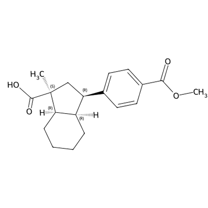 COC(=O)c1ccc([C@@H]2C[C@](C)(C(=O)O)[C@@H]3CCCC[C@@H]32)cc1